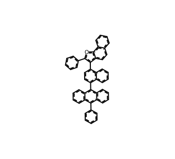 c1ccc(-c2oc3c(ccc4ccccc43)c2-c2ccc(-c3c4ccccc4c(-c4ccccc4)c4ccccc34)c3ccccc23)cc1